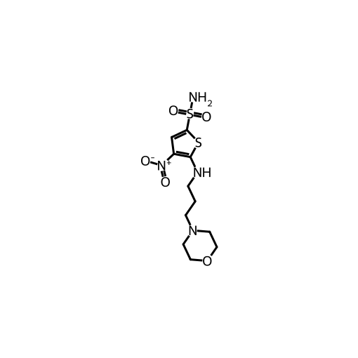 NS(=O)(=O)c1cc([N+](=O)[O-])c(NCCCN2CCOCC2)s1